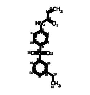 C=CC(=O)Nc1ccc(S(=O)(=O)c2cccc(CC)c2)cc1